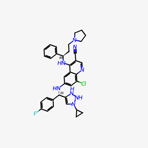 N#Cc1cnc2c(Cl)cc(N[C@H](C3=CN(C4CC4)NN3)c3ccc(F)cc3)cc2c1N[C@H](CCN1CCCC1)c1ccccc1